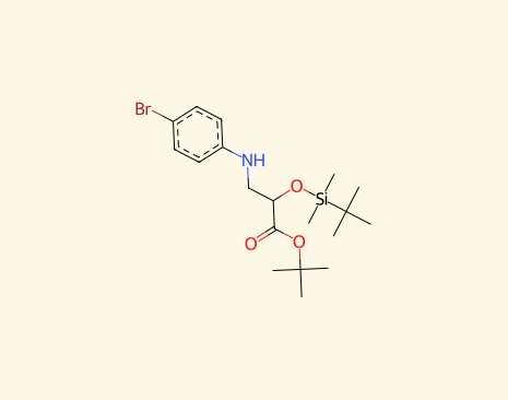 CC(C)(C)OC(=O)C(CNc1ccc(Br)cc1)O[Si](C)(C)C(C)(C)C